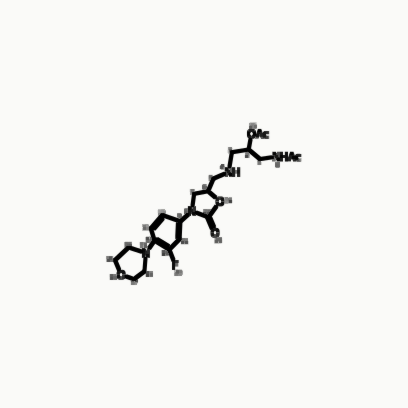 CC(=O)NCC(CNCC1CN(c2ccc(N3CCOCC3)c(F)c2)C(=O)O1)OC(C)=O